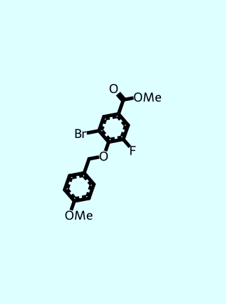 COC(=O)c1cc(F)c(OCc2ccc(OC)cc2)c(Br)c1